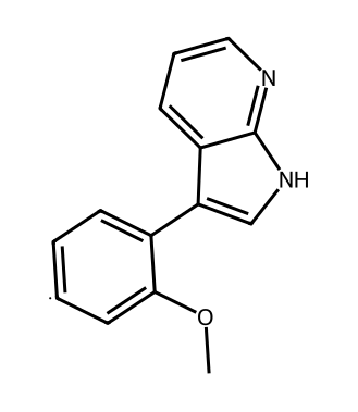 COc1c[c]ccc1-c1c[nH]c2ncccc12